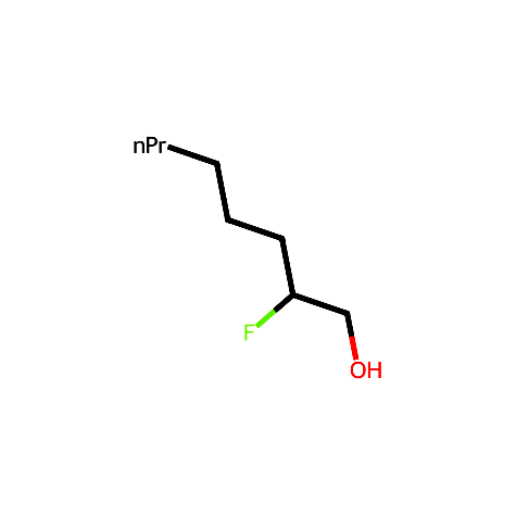 CCCCCCC(F)CO